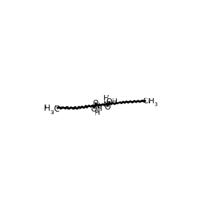 CCCCCCCCCCCCCCCCCCCCC(O)C(=O)NCCCCNC(=O)C(O)CCCCCCCCCCCCCCCCCCCC